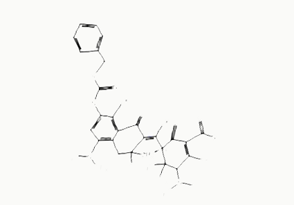 CN(C)c1cc(NC(=N)NCc2ccccc2)c(O)c2c1CC(C)(C)/C(=C(/O)[C@]1(O)C(=O)C(C(N)=O)=C(O)C(N(C)C)C1(C)C)C2=O